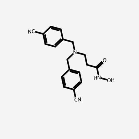 N#Cc1ccc(CN(CCC(=O)NO)Cc2ccc(C#N)cc2)cc1